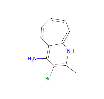 CC1=C(Br)C(N)=C2C=CC=CC=C2N1